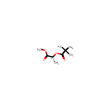 COC(=O)[C@@H](C)OC(=O)C(C)(C)C